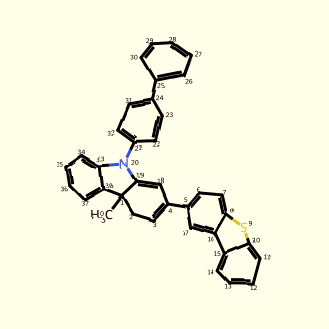 CC12CC=C(c3ccc4sc5ccccc5c4c3)C=C1N(c1ccc(-c3ccccc3)cc1)c1ccccc12